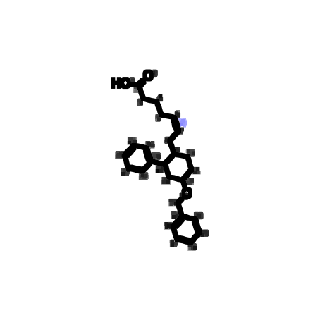 O=C(O)CCC/C=C\CC1CCC(OCc2ccccc2)CC1c1ccccc1